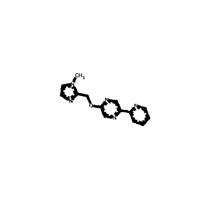 Cn1ccnc1COc1cnc(-c2ccccn2)cn1